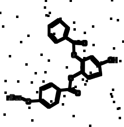 CCCCCCCCCCOc1ccc(C(=O)Oc2ccc(O)cc2OC(=O)c2ccccc2)cc1